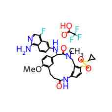 COc1ccc2cc1CCC(=O)Nc1ccc(S(=O)(=O)C3CC3)c(c1)CN(C)C(=O)[C@@H]2Nc1ccc2c(N)ncc(F)c2c1.O=C(O)C(F)(F)F